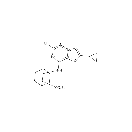 CCOC(=O)C1C2CCC(CC2)C1Nc1nc(Cl)nn2cc(C3CC3)cc12